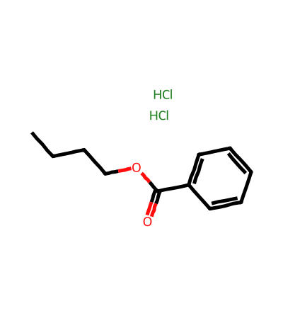 CCCCOC(=O)c1ccccc1.Cl.Cl